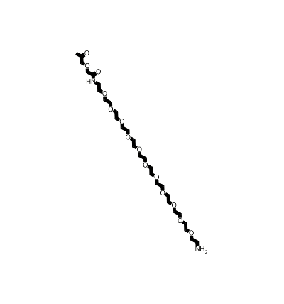 CC(=O)COCC(=O)NCCOCCOCCOCCOCCOCCOCCOCCOCCOCCOCCOCCN